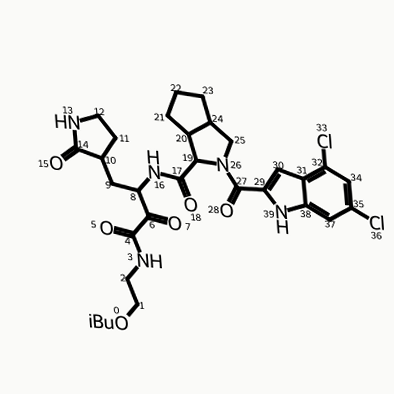 CC(C)COCCNC(=O)C(=O)C(CC1CCNC1=O)NC(=O)C1C2CCCC2CN1C(=O)c1cc2c(Cl)cc(Cl)cc2[nH]1